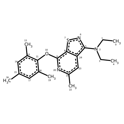 CCN(CC)c1nsc2c(Oc3c(C)cc(C)cc3C)nc(C)cc12